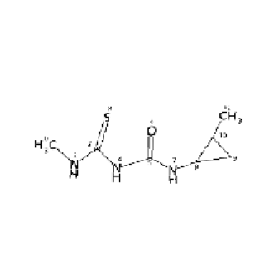 CNC(=S)NC(=O)NC1CC1C